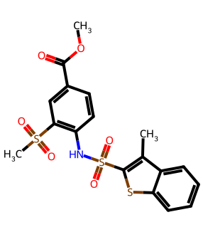 COC(=O)c1ccc(NS(=O)(=O)c2sc3ccccc3c2C)c(S(C)(=O)=O)c1